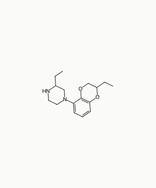 CCC1CN(c2cccc3c2OCC(CC)O3)CCN1